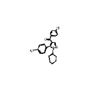 O=C(c1ccc(Cl)cc1)c1cnn(C2CCCCC2)c1-c1ccc(Cl)cc1